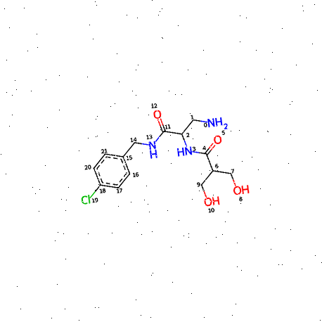 NCC(NC(=O)C(CO)CO)C(=O)NCc1ccc(Cl)cc1